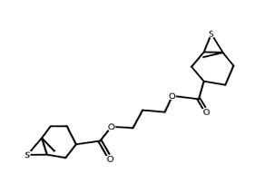 CC12CCC(C(=O)OCCCOC(=O)C3CCC4(C)SC4C3)CC1S2